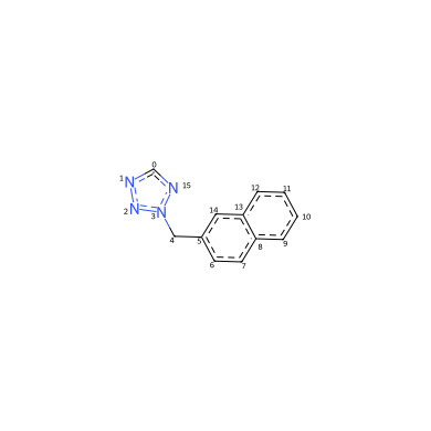 [c]1nnn(Cc2ccc3ccccc3c2)n1